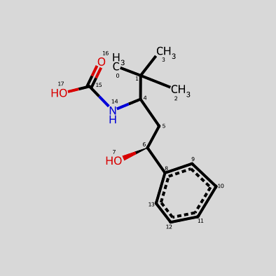 CC(C)(C)C(C[C@H](O)c1ccccc1)NC(=O)O